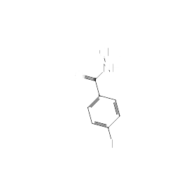 CNC(=O)c1ccc(I)cc1